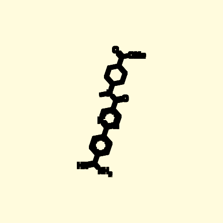 COC(=O)C1CCC(N(C)C(=O)c2cnc(-c3ccc(C(=N)N)cc3)nc2)CC1